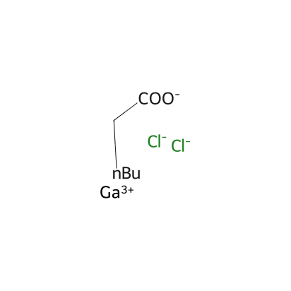 CCCCCC(=O)[O-].[Cl-].[Cl-].[Ga+3]